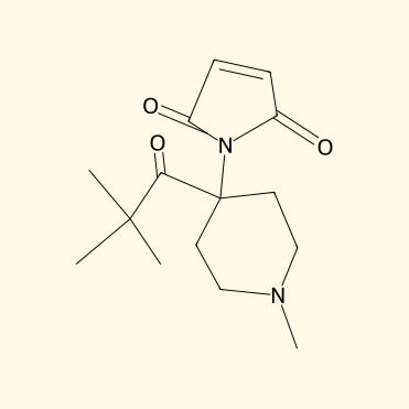 CN1CCC(C(=O)C(C)(C)C)(N2C(=O)C=CC2=O)CC1